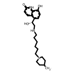 [CH2]C1CCN(CCCCCCNC[C@H](O)c2ccc(O)c3[nH]c(=O)ccc23)CC1